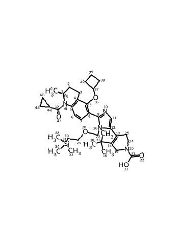 C[C@H]1CCc2c(ccc(-c3ncc(C4=C(C(C)(C)C)CN(C(=O)O)CC4)n3COCC[Si](C)(C)C)c2OC2CCC2)N1C(=O)C1CC1